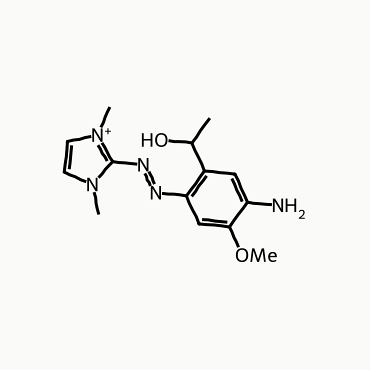 COc1cc(N=Nc2n(C)cc[n+]2C)c(C(C)O)cc1N